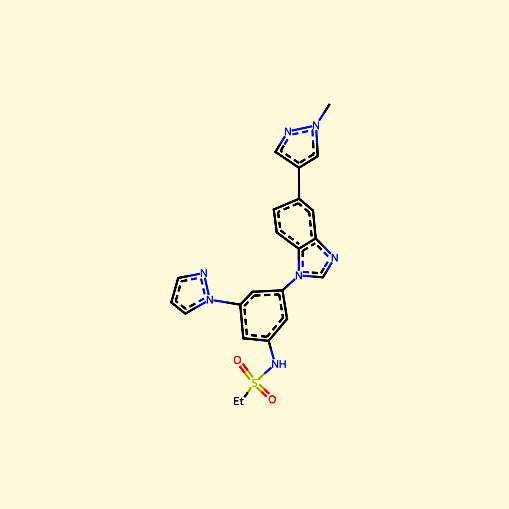 CCS(=O)(=O)Nc1cc(-n2cccn2)cc(-n2cnc3cc(-c4cnn(C)c4)ccc32)c1